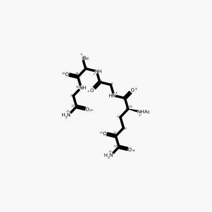 CCC(C)C(NC(=O)CNC(=O)[C@H](CCC(=O)C(N)=O)NC(C)=O)C(=O)NCC(N)=O